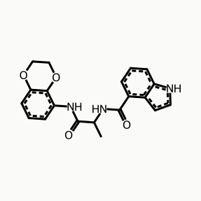 CC(NC(=O)c1cccc2[nH]ccc12)C(=O)Nc1cccc2c1OCCO2